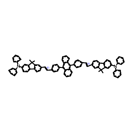 CC1(C)c2cc(/C=C/c3ccc(-c4c5ccccc5c(-c5ccc(/C=C/c6ccc7c(c6)C(C)(C)c6cc(N(c8ccccc8)c8ccccc8)ccc6-7)cc5)c5ccccc45)cc3)ccc2-c2ccc(N(c3ccccc3)c3ccccc3)cc21